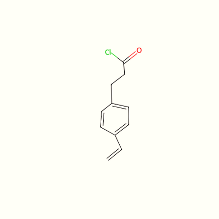 C=Cc1ccc(CCC(=O)Cl)cc1